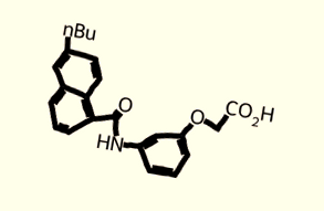 CCCCc1ccc2c(C(=O)Nc3cccc(OCC(=O)O)c3)cccc2c1